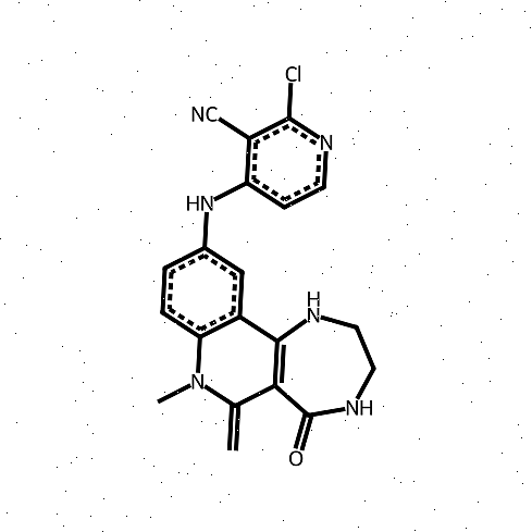 C=C1C2=C(NCCNC2=O)c2cc(Nc3ccnc(Cl)c3C#N)ccc2N1C